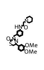 COc1ccc(C2=NN(Cc3cccc(NC(=O)CN4CCCCC4)c3)C(=O)SC2)cc1OC